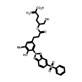 C=C(CCC(CO)OC(=O)CCc1cc(-n2nc3ccc(S(=O)(=O)c4ccccc4)cc3n2)c(O)c(C(C)(C)C)c1)C(=O)O